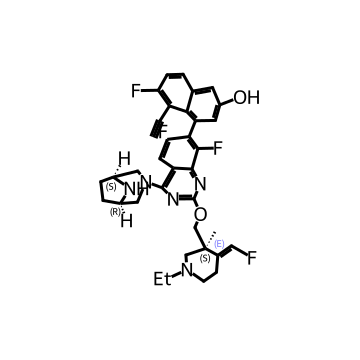 C#Cc1c(F)ccc2cc(O)cc(-c3c(F)cc4c(N5C[C@H]6CC[C@@H](C5)N6)nc(OC[C@]5(C)CN(CC)CC/C5=C\F)nc4c3F)c12